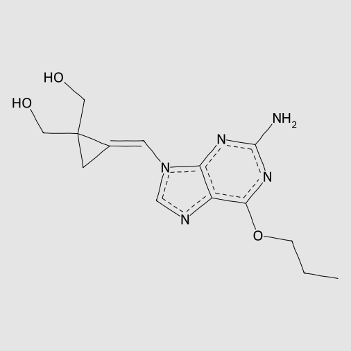 CCCOc1nc(N)nc2c1ncn2C=C1CC1(CO)CO